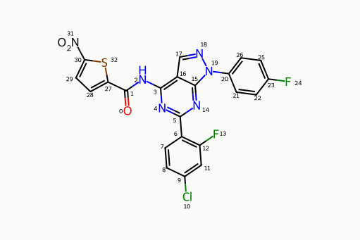 O=C(Nc1nc(-c2ccc(Cl)cc2F)nc2c1cnn2-c1ccc(F)cc1)c1ccc([N+](=O)[O-])s1